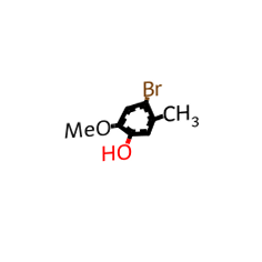 COc1cc(Br)c(C)cc1O